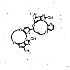 Nc1nc2cc3c1nc(O)n3Cc1nc(C3C/C=C/COc4cccnc4Cn4c(O)nc5c(N)nc(cc54)O3)ccc1OCCCCCO2